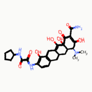 CN(C)[C@@H]1C(O)=C(C(N)=O)C(=O)C2(O)C(O)=C3Cc4c(ccc(NC(=O)C(=O)NC5CCCC5)c4O)CC3CC12